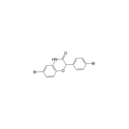 O=C1Nc2cc(Br)ccc2OC1c1ccc(Br)cc1